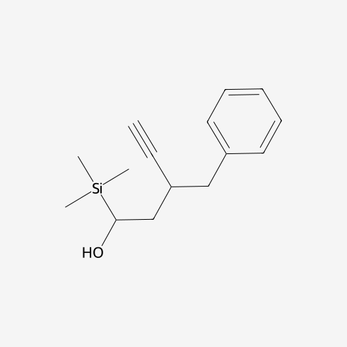 C#CC(Cc1ccccc1)CC(O)[Si](C)(C)C